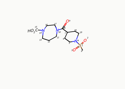 CS(=O)(=O)N1CCC(C(=O)N2CCCN(C(=O)O)CC2)CC1